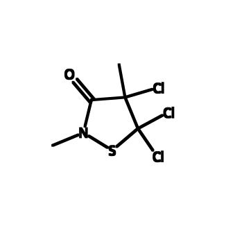 CN1SC(Cl)(Cl)C(C)(Cl)C1=O